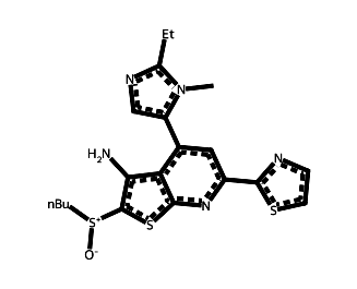 CCCC[S+]([O-])c1sc2nc(-c3nccs3)cc(-c3cnc(CC)n3C)c2c1N